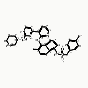 Cc1ccc2c(NS(=O)(=O)Cc3ccc(F)cc3)cccc2c1Oc1ncccc1-c1ccnc(N[C@H]2CCCNC2)n1